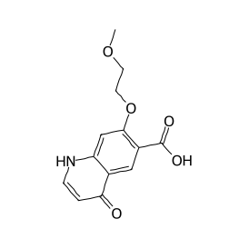 COCCOc1cc2[nH]ccc(=O)c2cc1C(=O)O